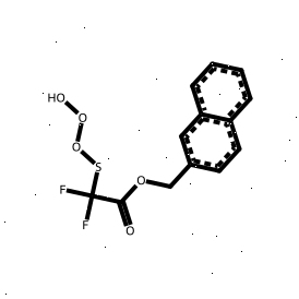 O=C(OCc1ccc2ccccc2c1)C(F)(F)SOOO